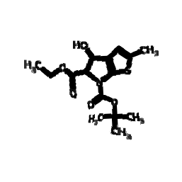 CCOC(=O)C1C(O)c2cc(C)sc2N1C(=O)OC(C)(C)C